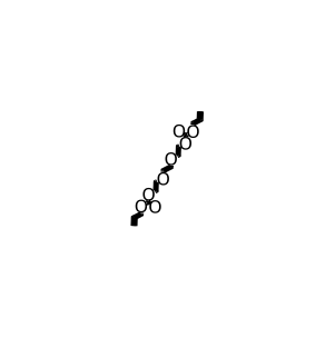 C=CCOC(=O)OCCOCCOCCOC(=O)OCC=C